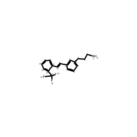 NCCCc1cccc(/C=C/c2ccccc2C(F)(F)F)c1